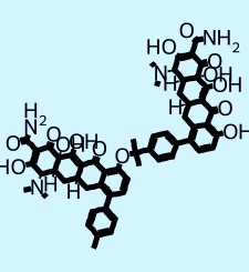 Cc1ccc(-c2ccc(OC(C)(C)c3ccc(-c4ccc(O)c5c4C[C@H]4C[C@H]6[C@H](N(C)C)C(O)=C(C(N)=O)C(=O)[C@@]6(O)C(O)=C4C5=O)cc3)c3c2C[C@H]2C[C@H]4[C@H](N(C)C)C(O)=C(C(N)=O)C(=O)[C@@]4(O)C(O)=C2C3=O)cc1